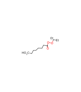 CCC(CC)OOC(=O)CCCCCCC(=O)O